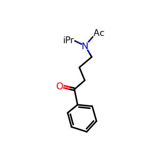 CC(=O)N(CCCC(=O)c1ccccc1)C(C)C